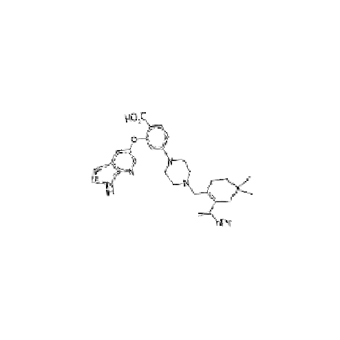 C=C(CCC)C1=C(CN2CCN(c3ccc(C(=O)O)c(Oc4cnc5[nH]ccc5c4)c3)CC2)CCC(C)(C)C1